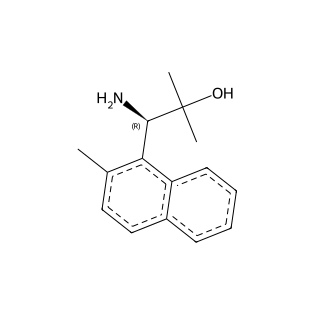 Cc1ccc2ccccc2c1[C@@H](N)C(C)(C)O